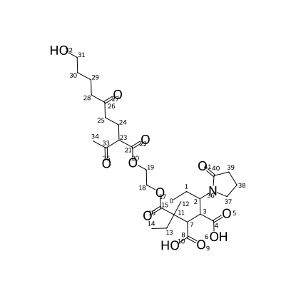 CCC(C(C(=O)O)C(C(=O)O)C(C)(CC)C(=O)OCCOC(=O)C(CCC(=O)CCCCO)C(C)=O)N1CCCC1=O